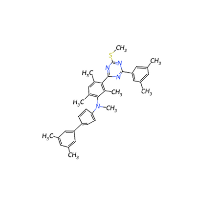 CSc1nc(-c2cc(C)cc(C)c2)nc(-c2c(C)cc(C)c(N(C)c3ccc(-c4cc(C)cc(C)c4)cc3)c2C)n1